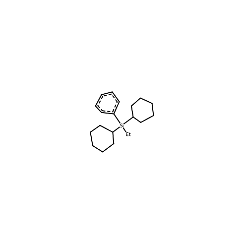 CC[Si](c1ccccc1)(C1CCCCC1)C1CCCCC1